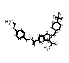 CCSc1ccc(CNC(=O)c2cc3c(s2)C(C(C)Cl)N(CC2CCC(C(F)(F)F)CC2)C3)nc1